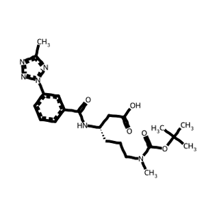 Cc1nnn(-c2cccc(C(=O)N[C@@H](CCCN(C)C(=O)OC(C)(C)C)CC(=O)O)c2)n1